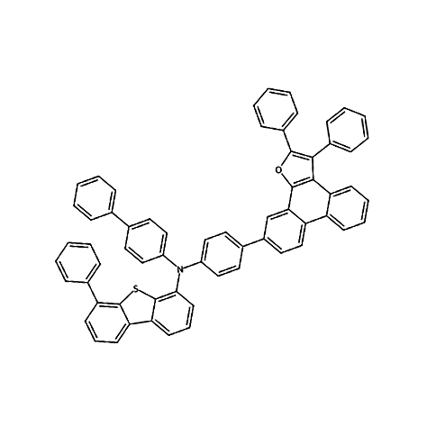 c1ccc(-c2ccc(N(c3ccc(-c4ccc5c6ccccc6c6c(-c7ccccc7)c(-c7ccccc7)oc6c5c4)cc3)c3cccc4c3sc3c(-c5ccccc5)cccc34)cc2)cc1